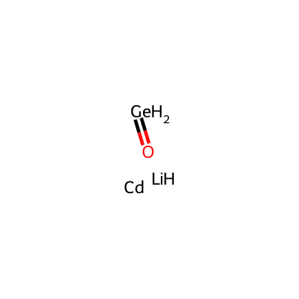 [Cd].[LiH].[O]=[GeH2]